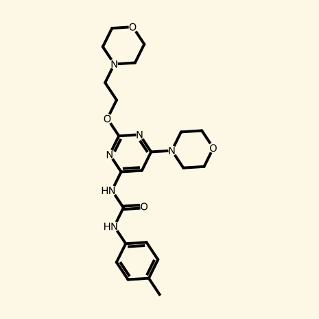 Cc1ccc(NC(=O)Nc2cc(N3CCOCC3)nc(OCCN3CCOCC3)n2)cc1